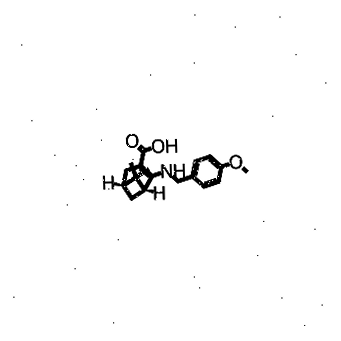 COc1ccc(CNC2=C(C(=O)O)C[C@H]3C[C@@H]2C3(C)C)cc1